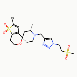 CCC1=CC2=C(CCO[C@@]23CCN(Cc2cn(CCS(C)(=O)=O)nn2)[C@@H](C)C3)S1(=O)=O